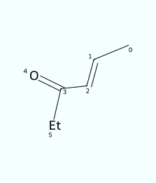 CC=CC(=O)CC